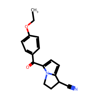 CCOc1ccc(C(=O)c2ccc3n2CCC3C#N)cc1